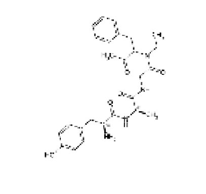 CCN(C(=O)CNC(=O)[C@@H](C)NC(=O)[C@@H](N)Cc1ccc(O)cc1)C(Cc1ccccc1)C(C)=O